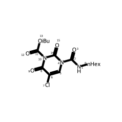 CCCCCCNC(=O)n1cc(Cl)c(=O)n(C(=O)OCC(C)C)c1=O